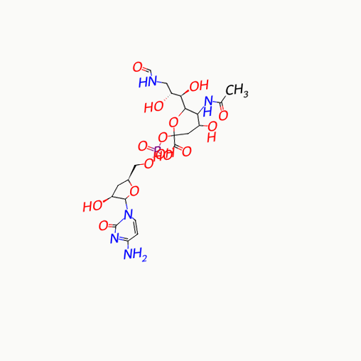 CC(=O)NC1C(O)CC(OP(=O)(O)OC[C@@H]2C[C@H](O)C(n3ccc(N)nc3=O)O2)(C(=O)O)OC1[C@H](O)[C@H](O)CNC=O